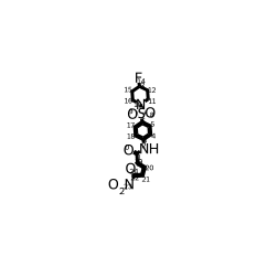 O=C(Nc1ccc(S(=O)(=O)N2CCC(F)CC2)cc1)c1ccc([N+](=O)[O-])o1